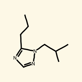 CCCc1ncnn1CC(C)C